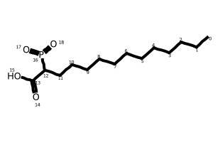 CCCCCCCCCCCCC(C(=O)O)P(=O)=O